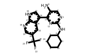 Nc1cnc(NC2CCCCC2)nc1-c1c[nH]c2ncc(C(F)(F)F)cc12